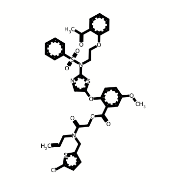 C=CCN(Cc1ccc(Cl)s1)C(=O)COC(=O)c1cc(OC)ccc1Oc1cnc(N(CCOc2ccccc2C(C)=O)S(=O)(=O)c2ccccc2)s1